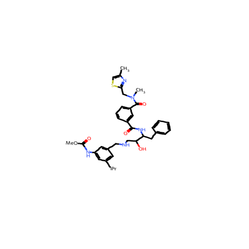 COC(=O)Nc1cc(CNCC(O)C(Cc2ccccc2)NC(=O)c2cccc(C(=O)N(C)Cc3nc(C)cs3)c2)cc(C(C)C)c1